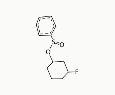 O=S(OC1CCCC(F)C1)c1ccccc1